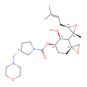 CO[C@H]1C([C@@]2(C)O[C@@H]2CC=C(C)C)[C@]2(CC[C@H]1OC(=O)N1CC[C@@H](CN3CCOCC3)C1)CO2